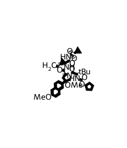 C=C[C@H]1C[C@]1(NC(=O)[C@@H]1C[C@@](OC)(c2ccc3cc(OC)ccc3c2)CN1C(=O)[C@@H](NC(=O)OC1CCCC1)C(C)(C)C)C(=O)NS(=O)(=O)C1CC1